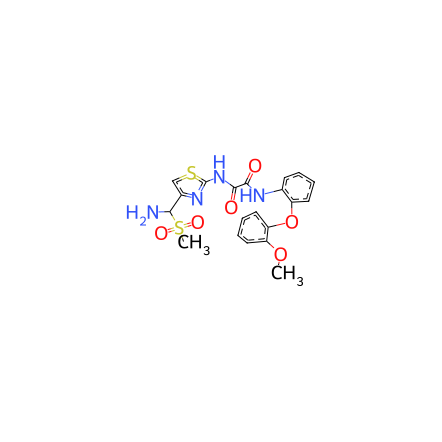 COc1ccccc1Oc1ccccc1NC(=O)C(=O)Nc1nc(C(N)S(C)(=O)=O)cs1